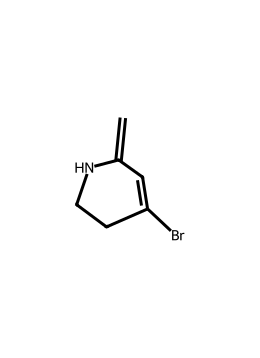 C=C1C=C(Br)CCN1